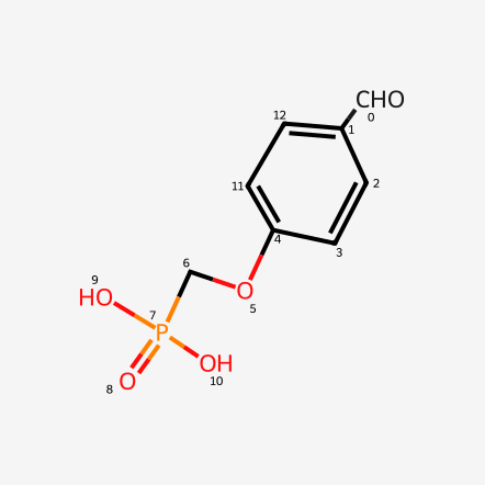 O=Cc1ccc(OCP(=O)(O)O)cc1